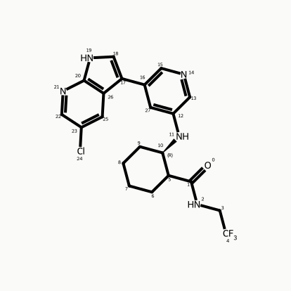 O=C(NCC(F)(F)F)C1CCCC[C@H]1Nc1cncc(-c2c[nH]c3ncc(Cl)cc23)c1